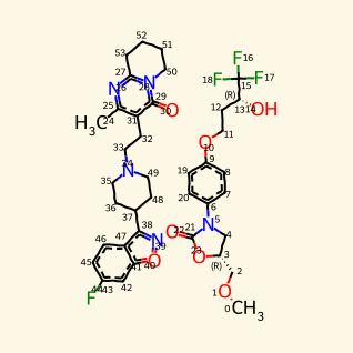 COC[C@H]1CN(c2ccc(OCC[C@@H](O)C(F)(F)F)cc2)C(=O)O1.Cc1nc2n(c(=O)c1CCN1CCC(c3noc4cc(F)ccc34)CC1)CCCC2